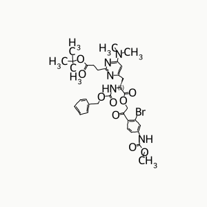 COC(=O)Nc1ccc(C(=O)COC(=O)[C@H](Cc2cc(N(C)C)nc(CCC(=O)OC(C)(C)C)n2)NC(=O)OCc2ccccc2)c(Br)c1